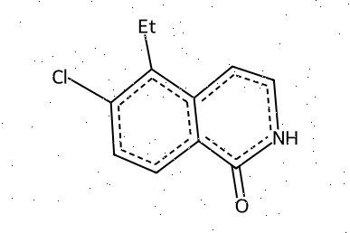 CCc1c(Cl)ccc2c(=O)[nH]ccc12